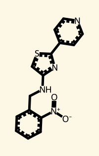 O=[N+]([O-])c1ccccc1CNc1csc(-c2ccncc2)n1